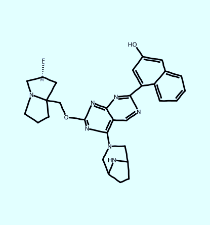 Oc1cc(-c2ncc3c(N4CC5CCC(C4)N5)nc(OCC45CCCN4C[C@H](F)C5)nc3n2)c2ccccc2c1